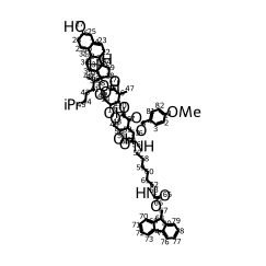 COc1ccc(C(=O)OC2C(OC3C(O)COC(O[C@H]4C[C@H]5[C@@H]6CC=C7C[C@@H](O)CC[C@]7(C)C6CC[C@]5(C)[C@@]4(O)[C@H](C)C(=O)CCC(C)C)C3C)OCC(O)C2CC(=O)NCCCCCCNC(=O)OCC2c3ccccc3-c3ccccc32)cc1